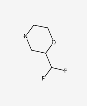 FC(F)C1C[N]CCO1